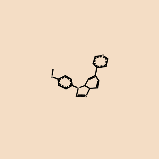 COc1ccc(N2C=NC3C=CC(c4ccncc4)=CC32)cc1